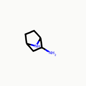 NC1CC2CCC1N2